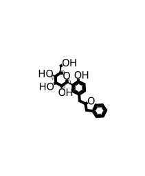 OC[C@H]1O[C@@H](c2cc(CC3Cc4ccccc4O3)ccc2O)[C@H](O)C(O)[C@@H]1O